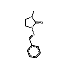 CN1CCN(N=Cc2ccccc2)C1=S